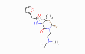 CN(C)CCN1C(=O)C(NC(=O)Cc2ccco2)C(C)(C)SC1=S